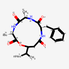 CCCCCCC(C)C1CC(=O)N[C@@H](Cc2ccccc2)C(=O)N[C@@H](C)C(=O)N[C@H]([C@@H](C)CC)C(=O)O1